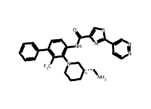 NC[C@@H]1CCCN(c2c(NC(=O)c3csc(-c4ccnnc4)n3)ccc(-c3ccccc3)c2C(F)(F)F)C1